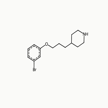 Brc1cccc(OCCCC2CCNCC2)c1